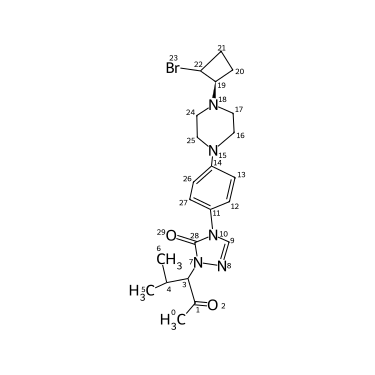 CC(=O)C(C(C)C)n1ncn(-c2ccc(N3CCN([C@@H]4CCC4Br)CC3)cc2)c1=O